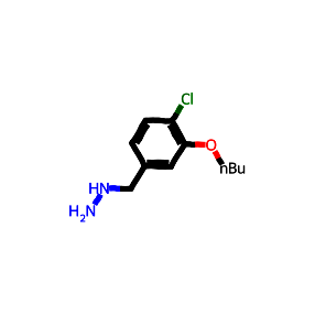 CCCCOc1cc(CNN)ccc1Cl